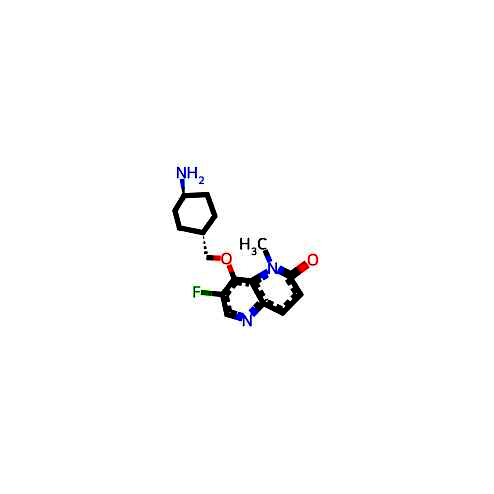 Cn1c(=O)ccc2ncc(F)c(OC[C@H]3CC[C@H](N)CC3)c21